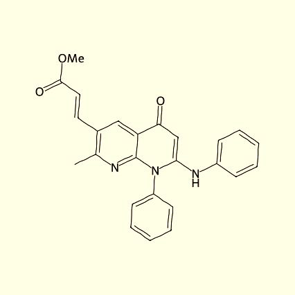 COC(=O)C=Cc1cc2c(=O)cc(Nc3ccccc3)n(-c3ccccc3)c2nc1C